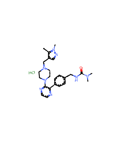 Cc1c(CN2CCN(c3nccnc3-c3ccc(CNC(=O)N(C)C)cc3)CC2)cnn1C.Cl